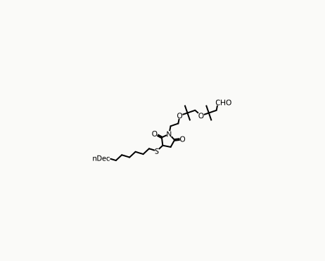 CCCCCCCCCCCCCCCCSC1CC(=O)N(CCOC(C)(C)COC(C)(C)CC=O)C1=O